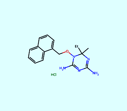 CCC1(C)N=C(N)N=C(N)N1OCc1cccc2ccccc12.Cl